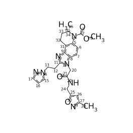 COC(=O)N1c2ccc3c(nc(CCn4cccn4)n3CC(=O)NCc3cc(C)no3)c2CC[C@@H]1C